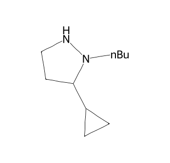 CCCCN1NCCC1C1CC1